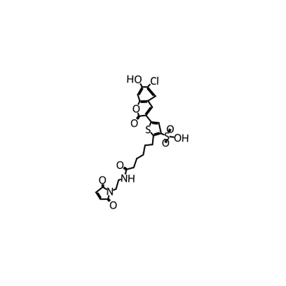 O=C(CCCCCc1sc(-c2cc3cc(Cl)c(O)cc3oc2=O)cc1S(=O)(=O)O)NCCN1C(=O)C=CC1=O